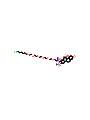 C[C@@H]1CC2C3CCC4=CC(=O)C=C[C@]4(C)[C@@]3(F)[C@@H](O)C[C@]2(C)[C@@]1(O)C(=O)NCCOCCOCCOCCOCCOCCOCCCCCCCl